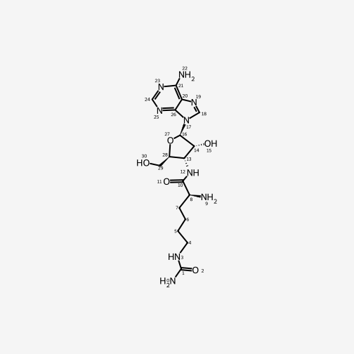 NC(=O)NCCCC[C@H](N)C(=O)N[C@H]1[C@@H](O)[C@H](n2cnc3c(N)ncnc32)O[C@@H]1CO